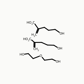 C=C(CCCO)C(=O)O.C=C(CCCO)C(=O)O.OCCOCCO